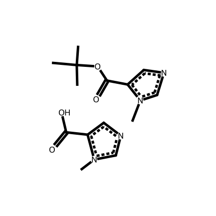 Cn1cncc1C(=O)O.Cn1cncc1C(=O)OC(C)(C)C